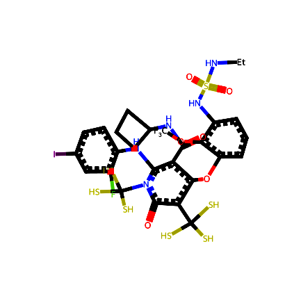 CCNS(=O)(=O)Nc1cccc(Oc2c(C(=O)NC3CCC3)c(Nc3ccc(I)cc3F)n(C(S)(S)S)c(=O)c2C(S)(S)S)c1OC(F)(F)F